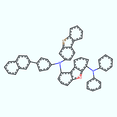 c1ccc(N(c2ccccc2)c2cccc3c2oc2cccc(N(c4ccc(-c5ccc6ccccc6c5)cc4)c4ccc5c(c4)sc4ccccc45)c23)cc1